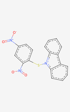 O=[N+]([O-])c1ccc(Sn2c3ccccc3c3ccccc32)c([N+](=O)[O-])c1